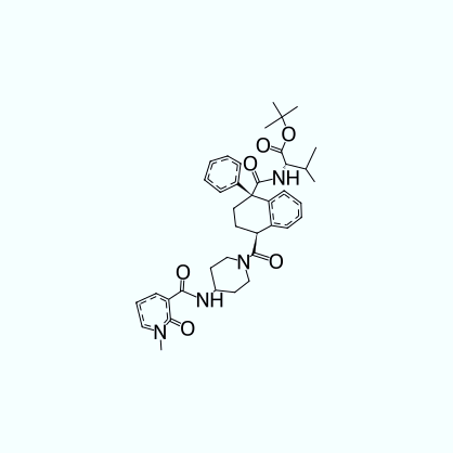 CC(C)[C@H](NC(=O)[C@@]1(c2ccccc2)CC[C@H](C(=O)N2CCC(NC(=O)c3cccn(C)c3=O)CC2)c2ccccc21)C(=O)OC(C)(C)C